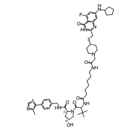 Cc1ncsc1-c1ccc(CNC(=O)[C@@H]2C[C@@H](O)CN2C(=O)C(NC(=O)CCCCCCNC(=O)CN2CCC(SCc3nc4cc(NC5CCCC5)cc(F)c4c(=O)[nH]3)CC2)C(C)(C)C)cc1